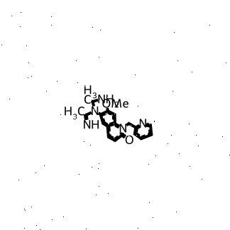 COc1cc2c(ccc(=O)n2Cc2ccccn2)cc1N(C(C)=N)C(C)N